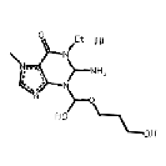 CCN1C(=O)c2c(ncn2C)N(C(O)OCCCO)C1N.I